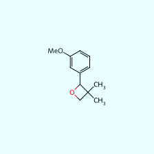 COc1cccc(C2OCC2(C)C)c1